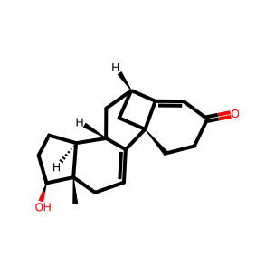 C[C@]12CC=C3[C@@H](C[C@H]4C[C@@]35CCC(=O)C=C45)[C@@H]1CC[C@@H]2O